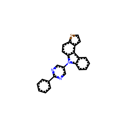 c1ccc(-c2ncc(-n3c4ccccc4c4c5ccsc5ccc43)cn2)cc1